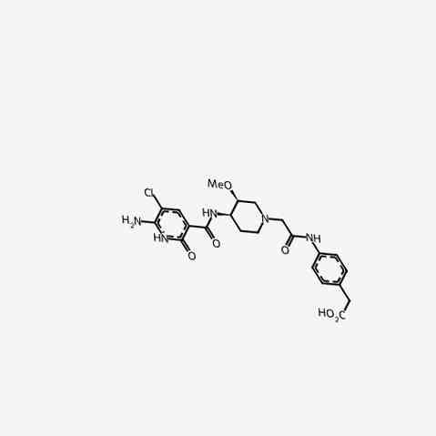 CO[C@H]1CN(CC(=O)Nc2ccc(CC(=O)O)cc2)CC[C@H]1NC(=O)c1cc(Cl)c(N)[nH]c1=O